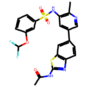 CC(=O)Nc1nc2ccc(-c3cnc(C)c(NS(=O)(=O)c4cccc(OC(F)F)c4)c3)cc2s1